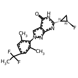 Cc1cc(C(C)(F)F)cc(C)c1-n1cc2c(=O)[nH]c([C@@H]3C[C@H]3F)nc2n1